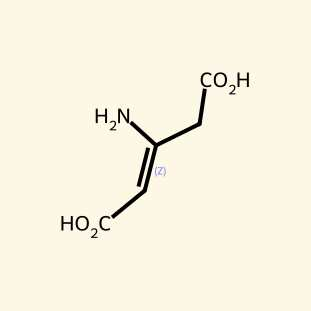 N/C(=C\C(=O)O)CC(=O)O